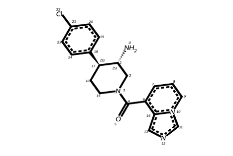 N[C@@H]1CN(C(=O)c2cccn3cncc23)CC[C@H]1c1ccc(Cl)cc1